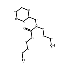 O=C(CCCCCl)N(CCCO)CC1CCCCC1